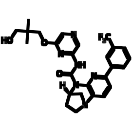 CC(C)(CO)COc1cncc(NC(=O)N2c3nc(-c4cccc(C(F)(F)F)c4)ccc3N3CC[C@H]2C3)n1